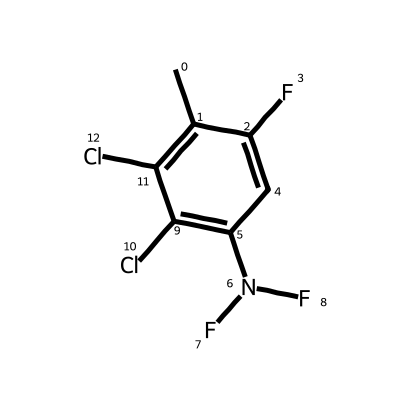 Cc1c(F)cc(N(F)F)c(Cl)c1Cl